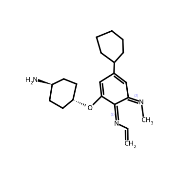 C=C/N=C1/C(O[C@H]2CC[C@H](N)CC2)=CC(C2CCCCC2)=C/C1=N/C